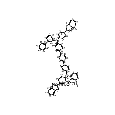 CC1(C)c2ccccc2N(c2ccc(-c3ccc(-c4ccc(N(c5ccc(-c6nc7ccccc7s6)cc5)c5cccc(-c6ccccc6)c5)cc4)cc3)cc2)c2ccc(-c3nc4ccccc4s3)cc21